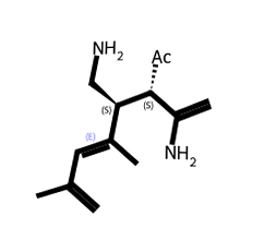 C=C(C)/C=C(\C)[C@@H](CN)[C@@H](C(=C)N)C(C)=O